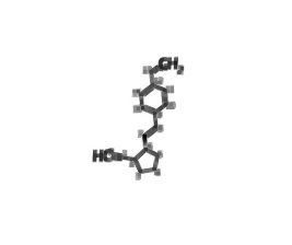 C#CC1CCC[C@@H]1C=Cc1ccc(C=C)cc1